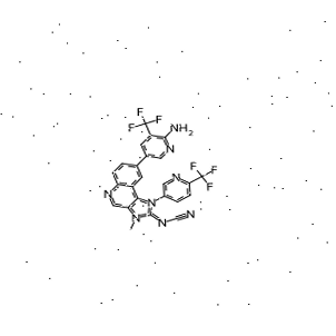 Cn1/c(=N/C#N)n(-c2ccc(C(F)(F)F)nc2)c2c3cc(-c4cnc(N)c(C(F)(F)F)c4)ccc3ncc21